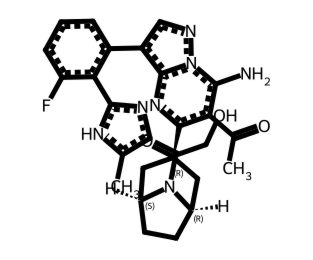 CC(=O)c1c([C@H]2C[C@H]3CC[C@@H](C2)N3C(=O)CO)nc2c(-c3cccc(F)c3-c3ncc(C)[nH]3)cnn2c1N